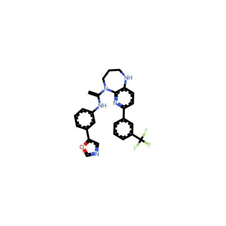 C=C(Nc1cccc(-c2cnco2)c1)N1CCCNc2ccc(-c3cccc(C(F)(F)F)c3)nc21